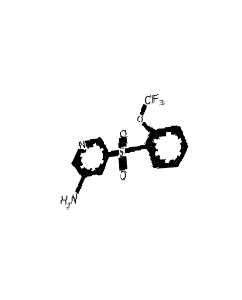 Nc1[c]ncc(S(=O)(=O)c2ccccc2OC(F)(F)F)c1